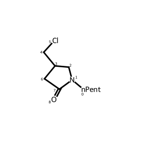 CCCCCN1CC(CCl)CC1=O